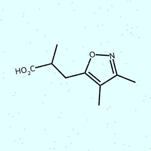 Cc1noc(CC(C)C(=O)O)c1C